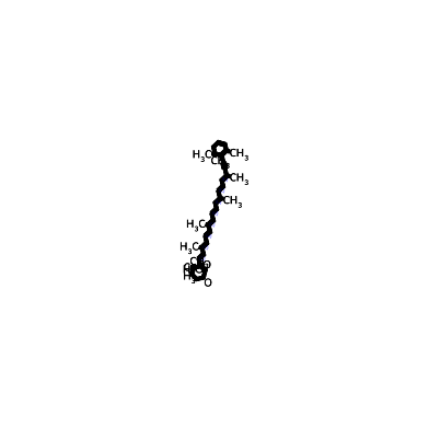 CC1=C(C#C/C(C)=C/C=C/C(C)=C/C=C/C=C(C)/C=C/C=C(C)/C=C/C23OC2(C)C(=O)CCC3(C)C)C(C)(C)CC=C1